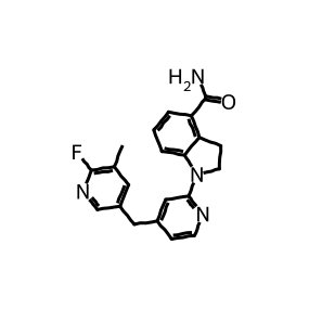 Cc1cc(Cc2ccnc(N3CCc4c(C(N)=O)cccc43)c2)cnc1F